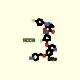 COc1cc2nccc(Oc3ccc(NC(=O)C4(C(=O)Nc5ccc(F)cc5)CC4)cc3F)c2cc1OCC1CCNCC1.Cl.Cl